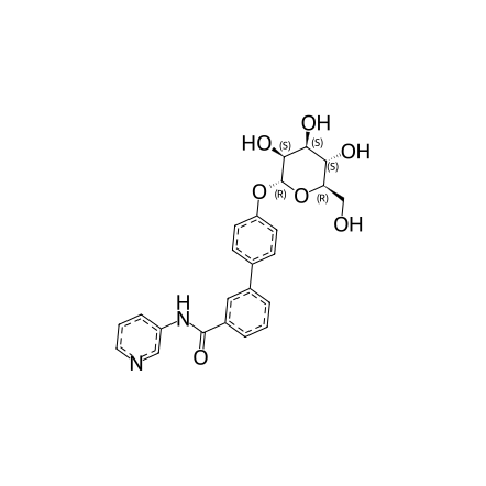 O=C(Nc1cccnc1)c1cccc(-c2ccc(O[C@H]3O[C@H](CO)[C@@H](O)[C@H](O)[C@@H]3O)cc2)c1